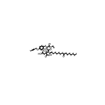 CC#CCOc1ccc(C[C@H](NC(=O)[C@@H](C=CCCCCCCC(=O)CCCCCCC)[C@@](O)(CC(=O)O)C(=O)O)C(=O)OCC)cc1